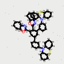 c1cc(-c2cc(-c3cccc(N4c5ccccc5Sc5ccccc54)c3)c(-c3nc4ccccc4o3)c(-c3nc4ccccc4o3)c2)cc(N2c3ccccc3Sc3ccccc32)c1